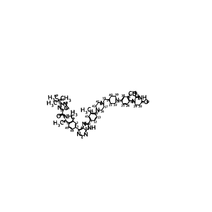 Cc1cc(-c2ncnc3[nH]c(-c4ccc(N5CCN(CC6CCN(c7ccc(N8CCC(=O)NC8=O)c(C)c7)CC6)CC5)c(C)c4)nc23)ccc1[C@@H](C)NC(=O)c1nc(C(C)(C)C)no1